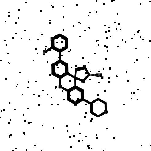 N[C@H]1N=CC2(O1)c1cc(-c3cccnc3F)ccc1Oc1cnc(C3=CCOCC3)cc12